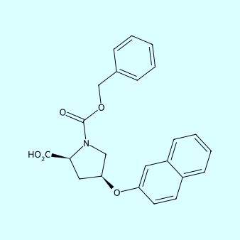 O=C(O)[C@@H]1C[C@H](Oc2ccc3ccccc3c2)CN1C(=O)OCc1ccccc1